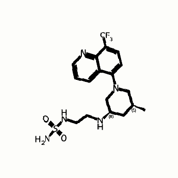 C[C@H]1C[C@@H](NCCNS(N)(=O)=O)CN(c2ccc(C(F)(F)F)c3ncccc23)C1